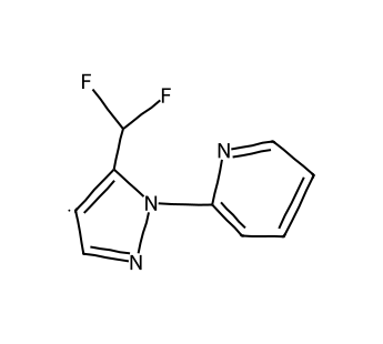 FC(F)c1[c]cnn1-c1ccccn1